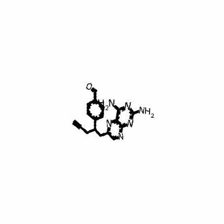 C#CCC(Cc1cnc2nc(N)nc(N)c2n1)c1ccc(C=O)cc1